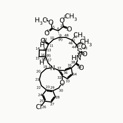 COC(=O)C(C(=O)OC)[C@H]1CC(=O)[C@@H]2CC[C@H]2CN2CCCCc3cc(Cl)ccc3COc3ccc(cc32)C(=O)NS(=O)(=O)[C@H](C)[C@@H](C)C1